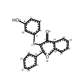 O=c1c(Sc2cccc(O)c2)c(-c2ccccc2)oc2ccccc12